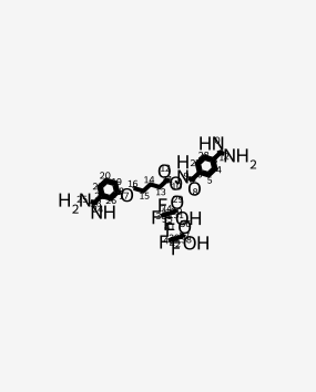 N=C(N)c1ccc(C(=O)NOC(=O)CCCCOc2cccc(C(=N)N)c2)cc1.O=C(O)C(F)(F)F.O=C(O)C(F)(F)F